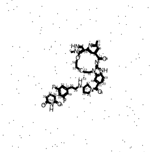 CN/C1=C(\C=N)c2cc(cc(C)n2)C(=O)/N=C2\Nc3ccc(C(=O)N4CC[C@H](NCCc5cc(F)c([C@H]6CCC(=O)NC6=O)c(F)c5)C4)cc3N2C[C@H](C)CCCO1